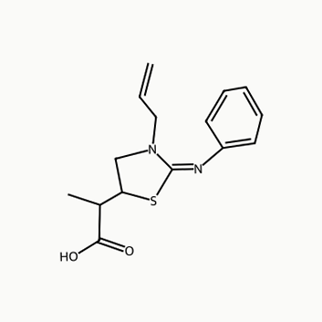 C=CCN1CC(C(C)C(=O)O)SC1=Nc1ccccc1